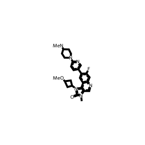 CNC1CCN(c2ccc(-c3cc4c(cc3F)ncc3c4n(C4CC(OC)C4)c(=O)n3C)cn2)CC1